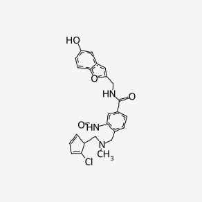 CN(Cc1ccc(C(=O)NCc2cc3cc(O)ccc3o2)cc1NC=O)CC1C=CC=C1Cl